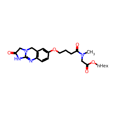 CCCCCCOC(=O)CN(C)C(=O)CCCOc1ccc2c(c1)CN1CC(=O)NC1=N2